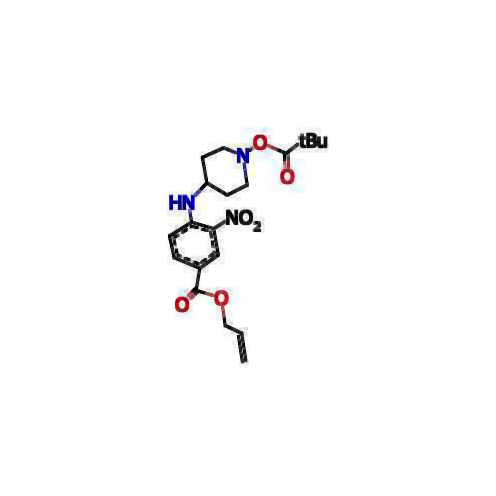 C=CCOC(=O)c1ccc(NC2CCN(OC(=O)C(C)(C)C)CC2)c([N+](=O)[O-])c1